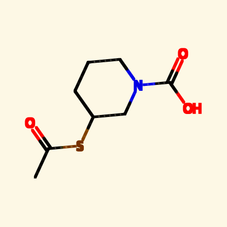 CC(=O)SC1CCCN(C(=O)O)C1